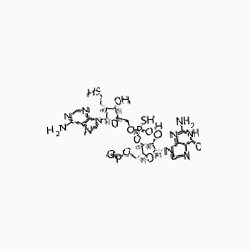 Nc1nc2c(ncn2[C@@H]2O[C@H](COP=O)[C@@H](O[P@](=O)(S)OC[C@H]3O[C@@H](n4cnc5c(N)ncnc54)[C@H](CCS)[C@@H]3O)[C@H]2O)c(=O)[nH]1